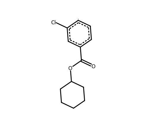 O=C(OC1CCCCC1)c1cc[c]c(Cl)c1